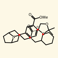 COC(=O)c1cccc(C2CC3CCC(C2)N3CCN(CC2CCCCC2)C(=O)[C@@H]2COC(C)(C)O2)c1